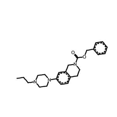 CCCN1CCN(c2ccc3c(c2)CN(C(=O)OCc2ccccc2)CC3)CC1